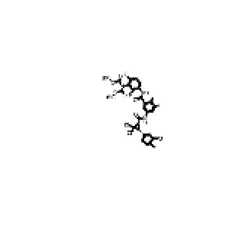 Cc1c(F)cc(NC(=O)[C@H]2[C@H](c3ccc(F)c(Cl)c3)C2(Cl)Cl)cc1C(=O)Nc1ccc(F)c(N(C(=O)OC(C)(C)C)C(=O)OC(C)(C)C)c1F